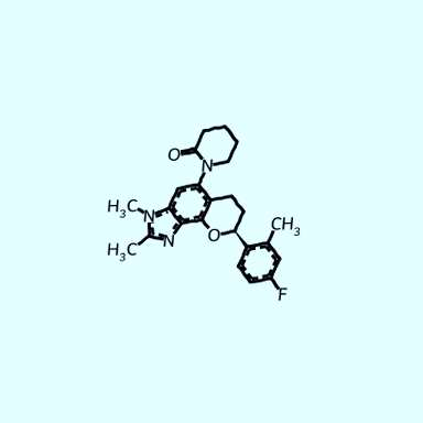 Cc1cc(F)ccc1[C@@H]1CCc2c(N3CCCCC3=O)cc3c(nc(C)n3C)c2O1